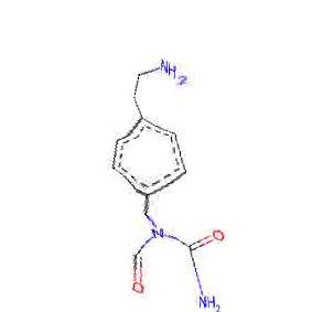 NCc1ccc(N(C=O)C(N)=O)cc1